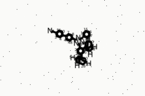 N#Cc1ccc(-c2ccc(-c3nc(-c4ccccc4)nc(-c4ccc(C56C[C@H]7C[C@H](C5)C[C@@H](C6)C7)cc4C45C[C@H]6C[C@@H](C4)C[C@@H](C5)C6)n3)cc2)cc1